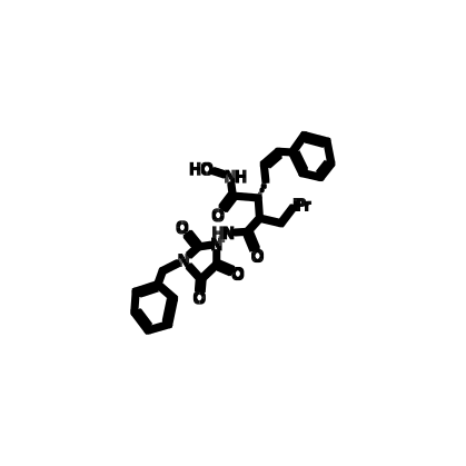 CC(C)CC(C(=O)NN1C(=O)C(=O)N(Cc2ccccc2)C1=O)[C@@H](C/C=C\c1ccccc1)C(=O)NO